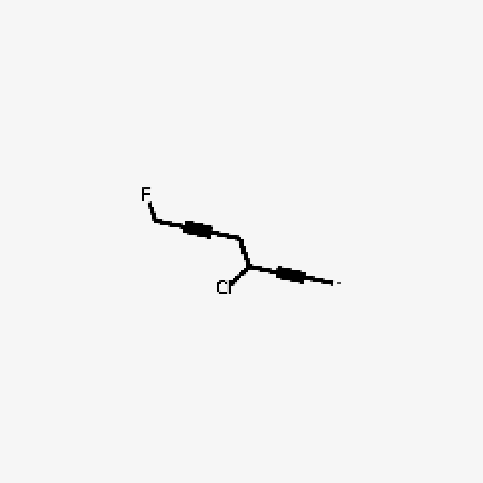 [CH2]C#CC(Cl)CC#CCF